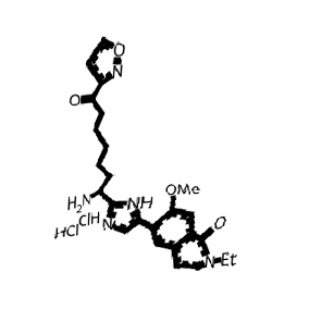 CCn1ccc2cc(-c3cnc(C(N)CCCCCC(=O)c4ccon4)[nH]3)c(OC)cc2c1=O.Cl.Cl